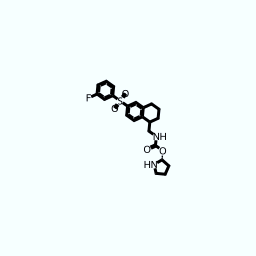 O=C(NCC1CCCc2cc(S(=O)(=O)c3cccc(F)c3)ccc21)O[C@@H]1CCCN1